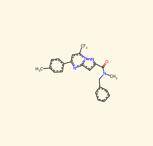 Cc1ccc(-c2cc(C(F)(F)F)n3nc(C(=O)N(C)Cc4ccccc4)cc3n2)cc1